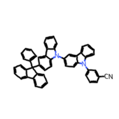 N#Cc1cccc(-n2c3ccccc3c3cc(-n4c5ccccc5c5cc(C6(c7ccccc7)c7ccccc7-c7ccccc76)ccc54)ccc32)c1